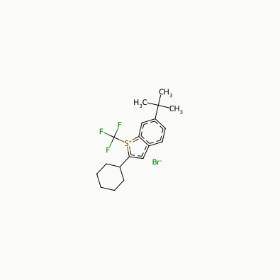 CC(C)(C)c1ccc2cc(C3CCCCC3)[s+](C(F)(F)F)c2c1.[Br-]